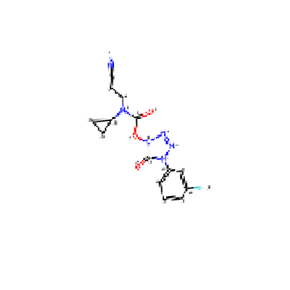 N#CCCN(C(=O)On1nnn(-c2cccc(F)c2)c1=O)C1CC1